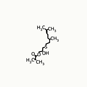 C=C(C)C(=O)OCC(O)CSCCC(C)CCC=C(C)C